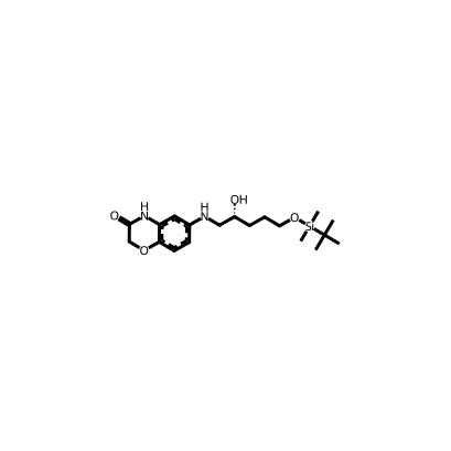 CC(C)(C)[Si](C)(C)OCCC[C@@H](O)CNc1ccc2c(c1)NC(=O)CO2